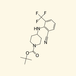 CC(C)(C)OC(=O)N1CCC(Nc2c(C#N)cccc2C(F)(F)F)CC1